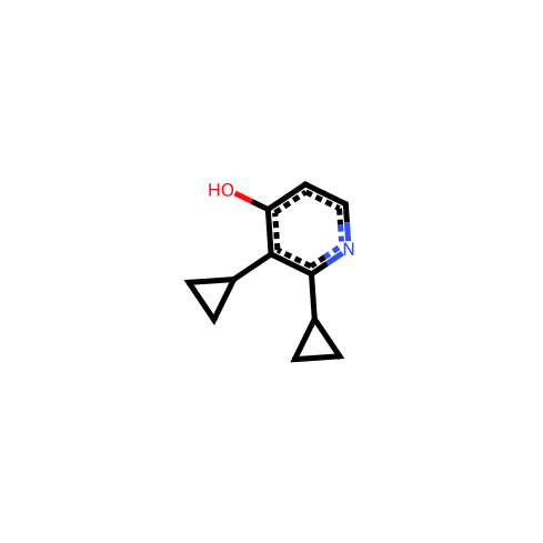 Oc1ccnc(C2CC2)c1C1CC1